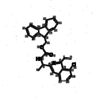 C=Cc1nc(C(C)NC(=O)OCC2c3ccccc3-c3ccccc32)cc2cccc(Cl)c12